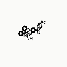 CC(=O)N1CCN(C(=O)c2cccc(CN3C(=N)NC(c4ccccc4)(c4ccccc4)C3=O)c2)CC1